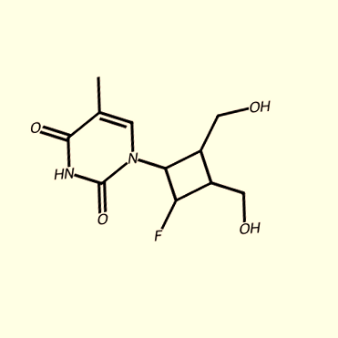 Cc1cn(C2C(F)C(CO)C2CO)c(=O)[nH]c1=O